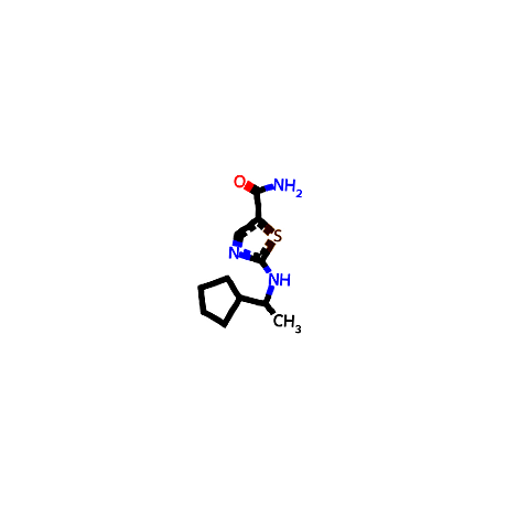 CC(Nc1ncc(C(N)=O)s1)C1CCCC1